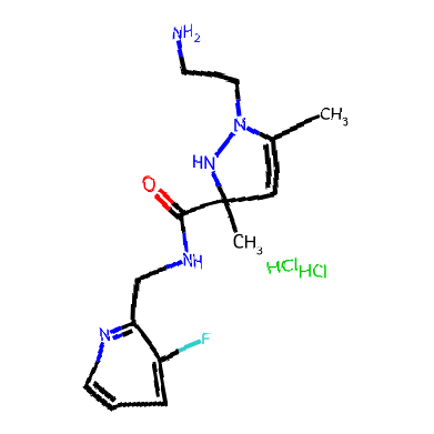 CC1=CC(C)(C(=O)NCc2ncccc2F)NN1CCN.Cl.Cl